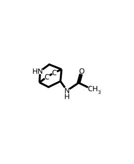 CC(=O)NC1CC2CCC1CN2